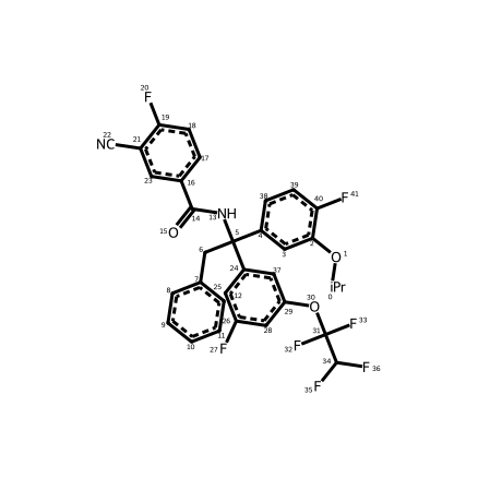 CC(C)Oc1cc(C(Cc2ccccc2)(NC(=O)c2ccc(F)c(C#N)c2)c2cc(F)cc(OC(F)(F)C(F)F)c2)ccc1F